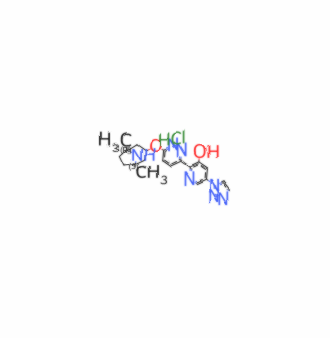 C[C@]12CC[C@](C)(CC(Oc3ccc(-c4ncc(-n5ccnn5)cc4O)nn3)C1)N2.Cl